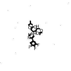 CC1CO[C@]2(C1)C[C@@H](n1cc(-c3cc(F)c(F)c(F)c3)nn1)[C@H]1OC(C)(C)OC[C@H]1O2